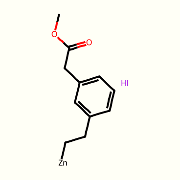 COC(=O)Cc1cccc(C[CH2][Zn])c1.I